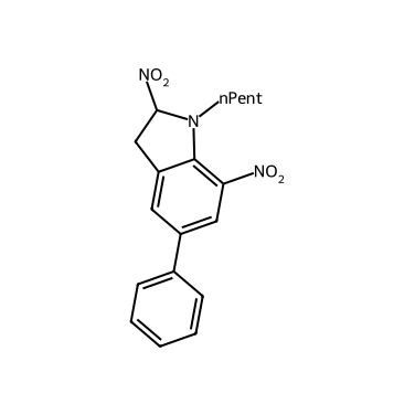 CCCCCN1c2c(cc(-c3ccccc3)cc2[N+](=O)[O-])CC1[N+](=O)[O-]